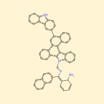 NC1C=CC=C/C1=C(/N=C/n1c2ccccc2c2c3c4ccccc4c(-c4ccc5[nH]c6ccccc6c5c4)cc3c3ccccc3c21)c1ccc2ccccc2c1